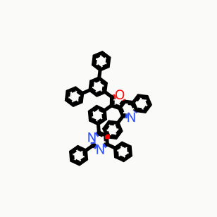 c1ccc(-c2cc(-c3ccccc3)cc(-c3oc4c(c(-c5ccccc5)nc5ccccc54)c3-c3cccc(-c4cc(-c5ccccc5)nc(-c5ccccc5)n4)c3)c2)cc1